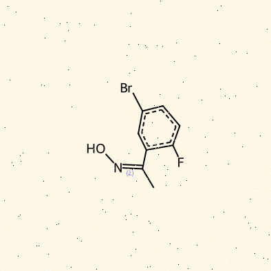 C/C(=N/O)c1cc(Br)ccc1F